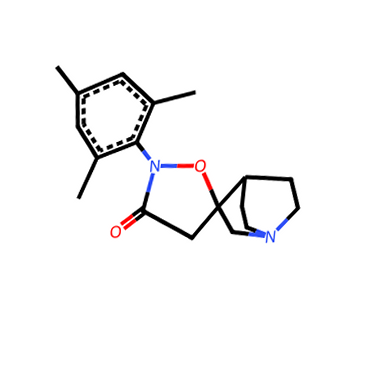 Cc1cc(C)c(N2OC3(CC2=O)CN2CCC3CC2)c(C)c1